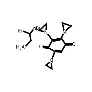 CCCCC(CC)[CH2][AlH2].O=C1C=C(N2CC2)C(=O)C(N2CC2)=C1N1CC1